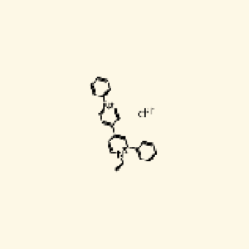 C=C[n+]1ccc(-c2cc[n+](-c3ccccc3)cc2)cc1-c1ccccc1.[Cl-].[Cl-]